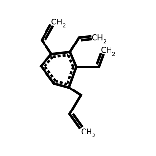 C=CCc1ccc(C=C)c(C=C)c1C=C